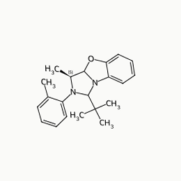 Cc1ccccc1N1C(C(C)(C)C)N2c3ccccc3OC2[C@@H]1C